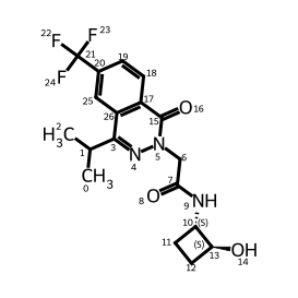 CC(C)c1nn(CC(=O)N[C@H]2CC[C@@H]2O)c(=O)c2ccc(C(F)(F)F)cc12